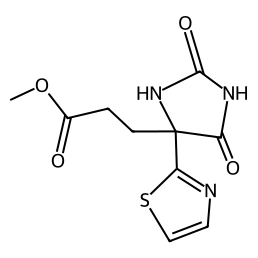 COC(=O)CCC1(c2nccs2)NC(=O)NC1=O